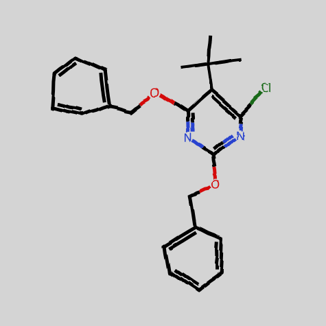 CC(C)(C)c1c(Cl)nc(OCc2ccccc2)nc1OCc1ccccc1